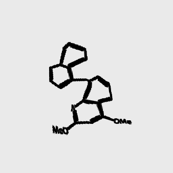 COc1cc(OC)c2cccc(-c3cccc4ccccc34)c2n1